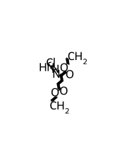 C=CCOC(=O)CCC(N=NNCl)C(=O)OCC=C